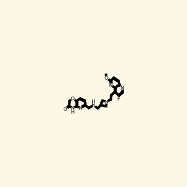 COc1ccc2ncc(F)c(CCN3CC(CNCc4ccc5c(n4)NC(=O)CO5)C3)c2n1